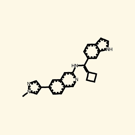 Cn1cc(-c2ccc3cnc(NC(=C4CCC4)c4ccc5cc[nH]c5c4)cc3c2)cn1